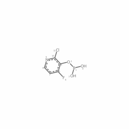 OB(O)Oc1c(F)ccnc1Cl